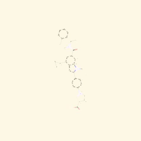 CC1c2ccccc2CCN1C(=O)c1cc(C2CC2)c2cc(-c3ccc(N4CCC(C(=O)O)C4)cc3F)n(C)c2c1